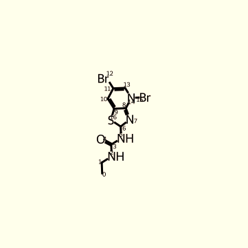 CCNC(=O)NC1N=C2C(=CC(Br)=CN2Br)S1